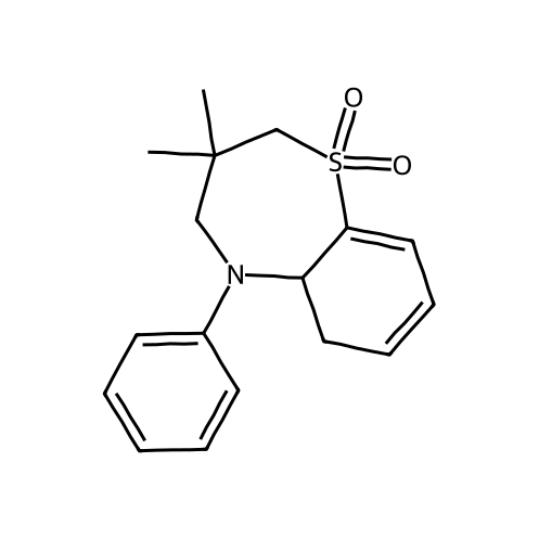 CC1(C)CN(c2ccccc2)C2CC=CC=C2S(=O)(=O)C1